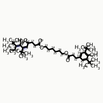 C=C(/C=C(\C(O)=C(/CC)C(C)(C)C)C(C)(C)C)CCC(=O)OCCCCCCOC(=O)CCc1cc(C(C)(C)C)c(O)c(C(C)(C)C)c1